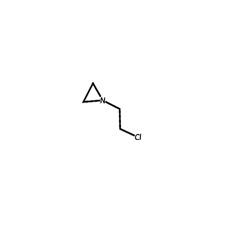 ClCCN1CC1